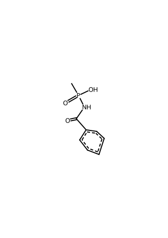 CP(=O)(O)NC(=O)c1ccccc1